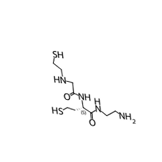 NCCNC(=O)[C@H](CCS)NC(=O)CNCCS